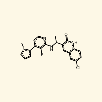 CC(Nc1nccc(-c2cccn2C)c1F)c1cc2cc(Cl)ccc2[nH]c1=O